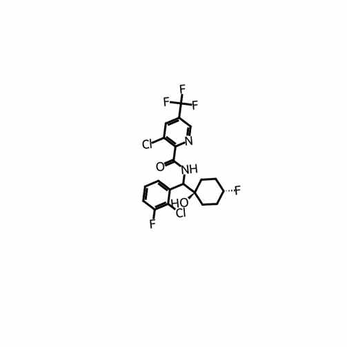 O=C(NC(c1cccc(F)c1Cl)[C@]1(O)CC[C@H](F)CC1)c1ncc(C(F)(F)F)cc1Cl